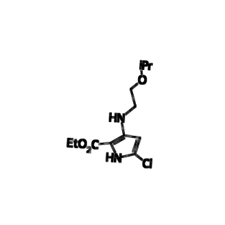 CCOC(=O)c1[nH]c(Cl)cc1NCCOC(C)C